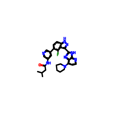 CC(C)CC(=O)Nc1cncc(-c2ccc3[nH]nc(-c4nc5c(N6CCCCC6)ccnc5[nH]4)c3c2F)c1